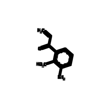 C=CC(=O)c1cccc(N)c1C(=O)O